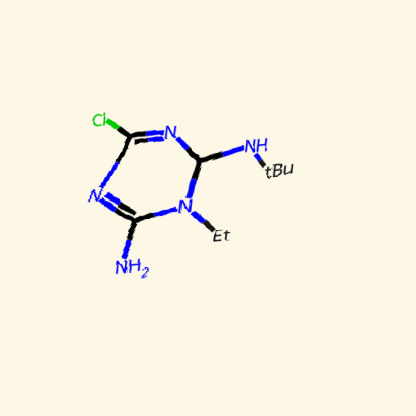 CCN1C(N)=NC(Cl)=NC1NC(C)(C)C